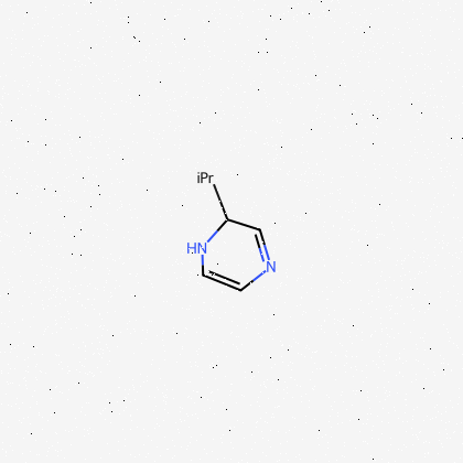 CC(C)C1C=NC=CN1